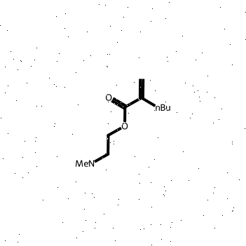 C=C(CCCC)C(=O)OCCNC